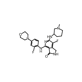 CN1CCCC(Nc2nc(Nc3ccc(N4CCOCC4)cc3F)c3c(c2F)CNC3=O)C1